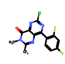 Cn1c(C(F)(F)F)nc2c(-c3ccc(F)cc3F)nc(Cl)nc2c1=O